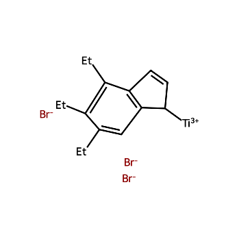 CCc1cc2c(c(CC)c1CC)C=C[CH]2[Ti+3].[Br-].[Br-].[Br-]